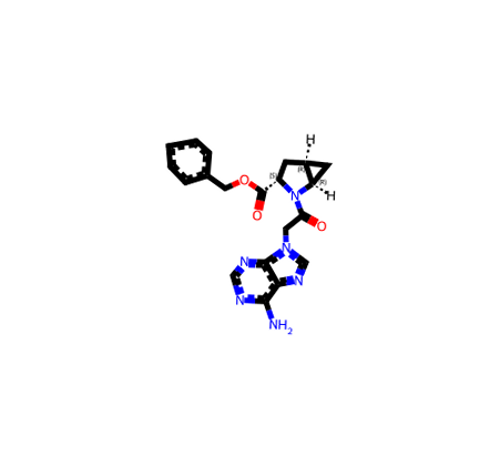 Nc1ncnc2c1ncn2CC(=O)N1[C@@H]2C[C@@H]2C[C@H]1C(=O)OCc1ccccc1